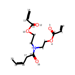 C=CC(=O)OCCN(CCOC(=O)C=C)C(=O)C/C=C\C